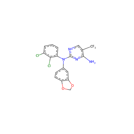 Nc1nc(N(c2ccc3c(c2)OCO3)c2cccc(Cl)c2Cl)ncc1C(F)(F)F